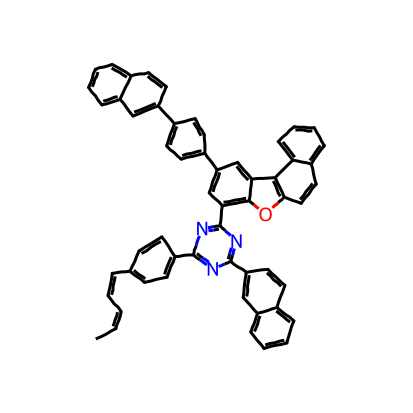 C/C=C\C=C/c1ccc(-c2nc(-c3ccc4ccccc4c3)nc(-c3cc(-c4ccc(-c5ccc6ccccc6c5)cc4)cc4c3oc3ccc5ccccc5c34)n2)cc1